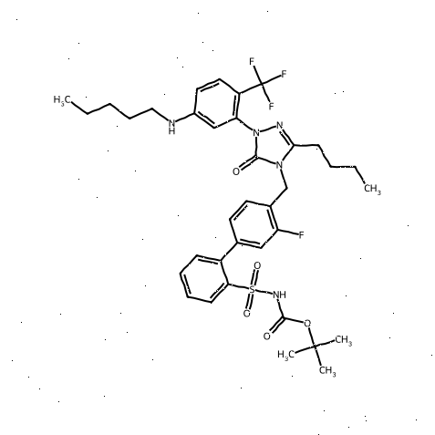 CCCCCNc1ccc(C(F)(F)F)c(-n2nc(CCCC)n(Cc3ccc(-c4ccccc4S(=O)(=O)NC(=O)OC(C)(C)C)cc3F)c2=O)c1